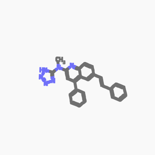 CN(c1cc(-c2ccccc2)c2cc(C=Cc3ccccc3)ccc2n1)c1nnn[nH]1